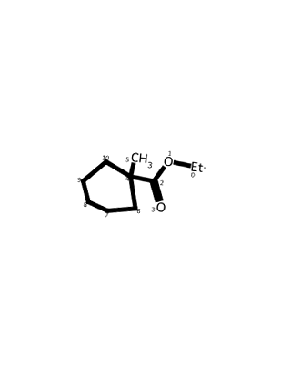 C[CH]OC(=O)C1(C)CCCCC1